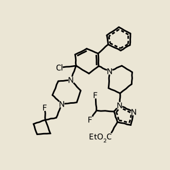 CCOC(=O)c1cnn(C2CCCN(C3=C(c4ccccc4)C=CC(Cl)(N4CCN(CC5(F)CCC5)CC4)C3)C2)c1C(F)F